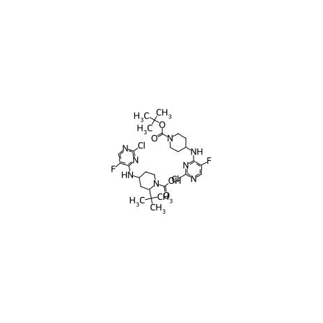 CC(C)(C)C1CC(Nc2nc(Cl)ncc2F)CCN1C(=O)O.CC(C)(C)OC(=O)N1CCC(Nc2nc(Cl)ncc2F)CC1